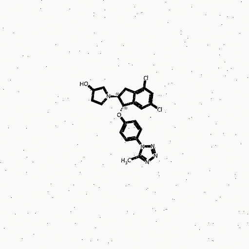 Cc1nnnn1-c1ccc(O[C@H]2c3cc(Cl)cc(Cl)c3C[C@@H]2N2CCC(O)C2)cc1